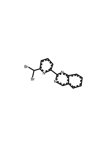 BrC(Br)c1cccc(-c2ncc3ccccc3n2)n1